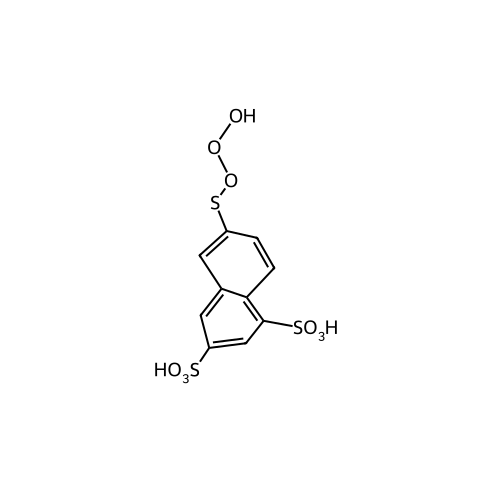 O=S(=O)(O)c1cc(S(=O)(=O)O)c2ccc(SOOO)cc2c1